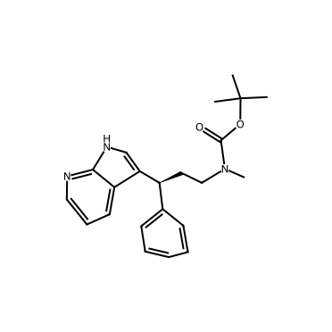 CN(CC[C@@H](c1ccccc1)c1c[nH]c2ncccc12)C(=O)OC(C)(C)C